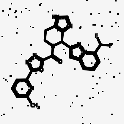 Cc1cccc(-c2nnc(C(=O)N3CCc4[nH]cnc4C3c3cc4cccc(C(F)F)n4n3)o2)n1